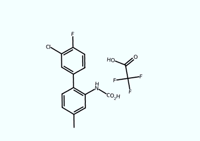 Cc1ccc(-c2ccc(F)c(Cl)c2)c(NC(=O)O)c1.O=C(O)C(F)(F)F